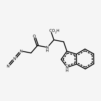 [N-]=[N+]=NCC(=O)NC(Cc1c[nH]c2ccccc12)C(=O)O